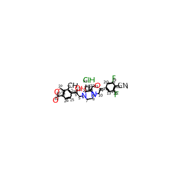 Cc1c([C@@H](O)CN2CCN3C[C@@H](c4cc(F)c(C#N)c(F)c4)OC[C@@H]3C2)ccc2c1COC2=O.Cl